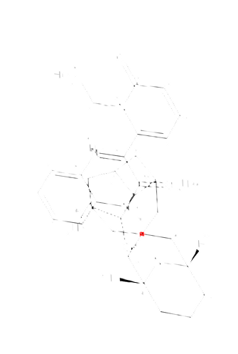 CC1C2[C@H]3C[C@@H]1C[C@@H](N1[C@@H]4CCC[C@H]1C[C@@H](n1c(=O)c(-c5cccc(=O)n5CC(=O)O)nc5ccccc51)C4)C[C@@H]2C3